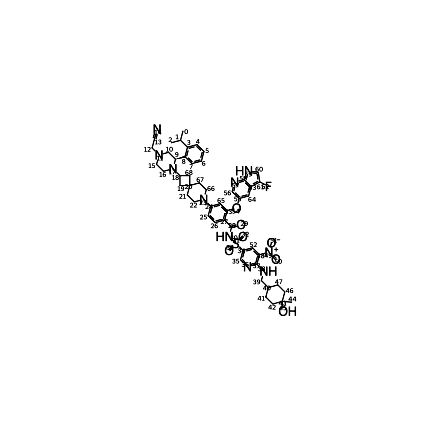 CC(C)c1ccccc1[C@@H]1CN(CC#N)CCN1C1CC2(CCN(c3ccc(C(=O)NS(=O)(=O)c4cnc(NCC5CCC(C)(O)CC5)c([N+](=O)[O-])c4)c(Oc4cnc5[nH]cc(F)c5c4)c3)CC2)C1